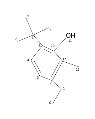 CCc1ccc(C(C)(C)C)c(O)c1C